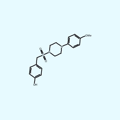 COc1ccc(N2CCN(S(=O)(=O)Cc3c[c]c(O)cc3)CC2)cc1